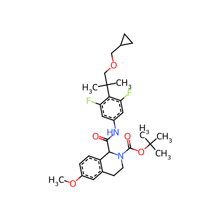 COc1ccc2c(c1)CCN(C(=O)OC(C)(C)C)C2C(=O)Nc1cc(F)c(C(C)(C)COCC2CC2)c(F)c1